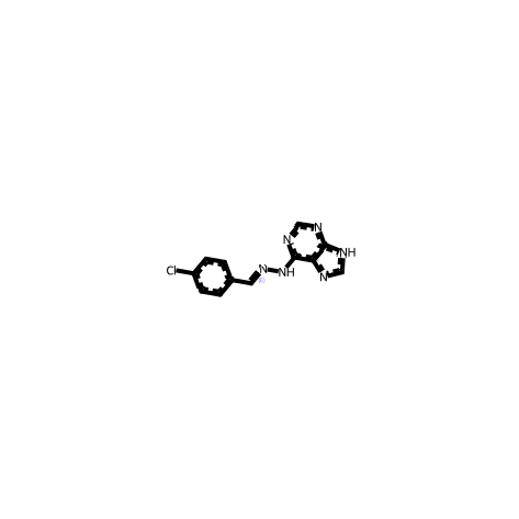 Clc1ccc(/C=N/Nc2ncnc3[nH]cnc23)cc1